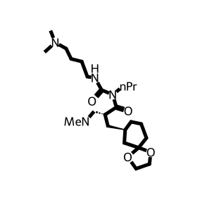 CCCN(C(=O)NCCCCN(C)C)C(=O)[C@@H](CNC)C[C@H]1CCCC2(C1)OCCO2